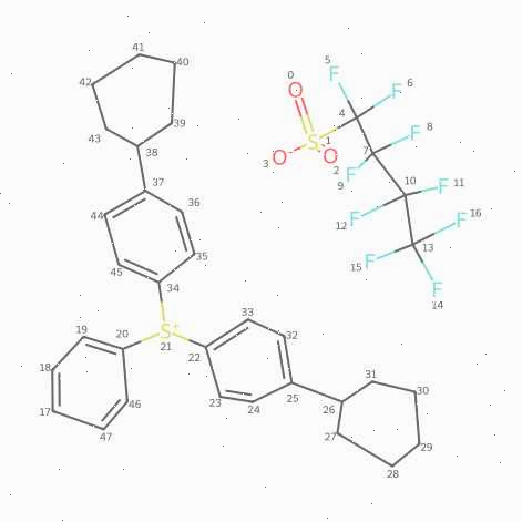 O=S(=O)([O-])C(F)(F)C(F)(F)C(F)(F)C(F)(F)F.c1ccc([S+](c2ccc(C3CCCCC3)cc2)c2ccc(C3CCCCC3)cc2)cc1